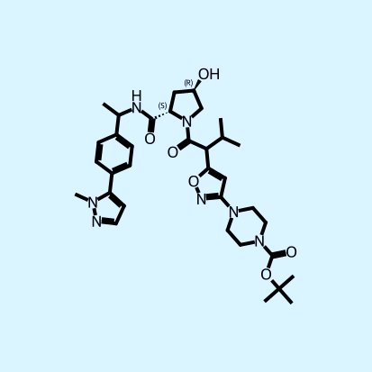 CC(NC(=O)[C@@H]1C[C@@H](O)CN1C(=O)C(c1cc(N2CCN(C(=O)OC(C)(C)C)CC2)no1)C(C)C)c1ccc(-c2ccnn2C)cc1